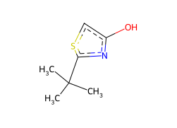 CC(C)(C)c1nc(O)cs1